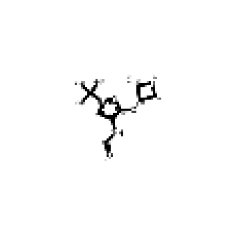 [2H]C([2H])([2H])n1cc(NC=O)c(O[C@H]2CO[C@H]2C)n1